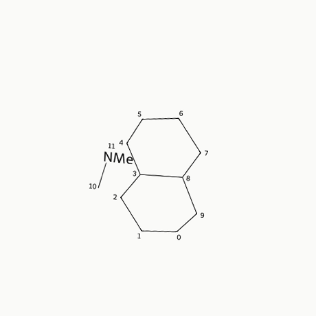 C1CCC2CCCCC2C1.CNC